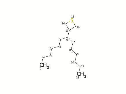 CCCCCCC(CCCCCC)C1CSC1